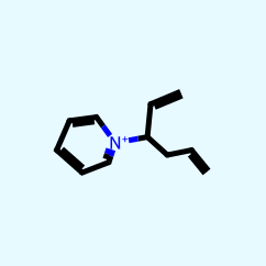 C=CCC(C=C)[n+]1ccccc1